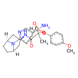 COc1ccc(OC(C)(C)C(=O)N[C@H]2C[C@H]3CC[C@@H](C2)N3c2ccc(S(N)(=O)=O)cn2)cc1